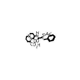 CC(=O)S[C@H](Cc1ccccc1)C(=O)NC1CCN2CCC[C@@H](C(=O)O)N2C1=O